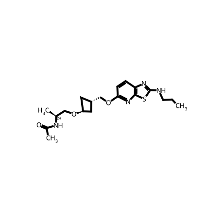 CCCNc1nc2ccc(OC[C@H]3C[C@H](OC[C@H](C)NC(C)=O)C3)nc2s1